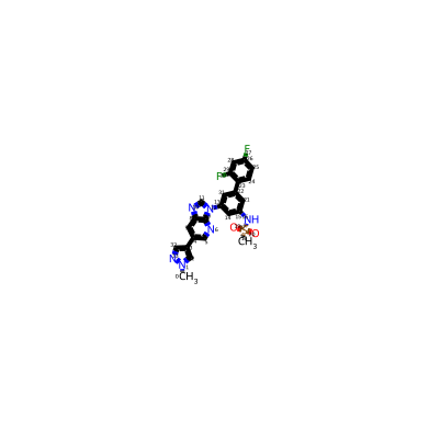 Cn1cc(-c2cnc3c(c2)ncn3-c2cc(NS(C)(=O)=O)cc(-c3ccc(F)cc3F)c2)cn1